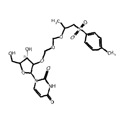 Cc1ccc(S(=O)(=O)CC(C)OCOCOC2C(n3ccc(=O)[nH]c3=O)OC(CO)[C@@H]2O)cc1